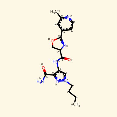 CCCCn1cc(NC(=O)C2COC(c3ccnc(C)c3)=N2)c(C(N)=O)n1